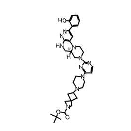 CC(C)(C)OC(=O)N1CC2(CC(N3CCN(c4ccnc(N5CCN6c7cc(-c8ccccc8O)nnc7NC[C@H]6C5)n4)CC3)C2)C1